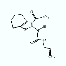 C=CCNC(=O)N(S)c1sc2c(c1C(N)=O)CCCC2